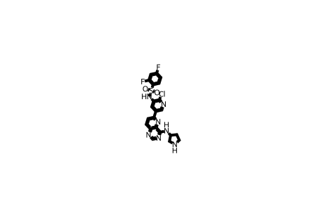 O=S(=O)(Nc1cc(-c2ccc3ncnc(NC4CCNC4)c3n2)cnc1Cl)c1ccc(F)cc1F